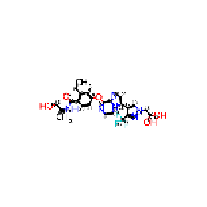 CCc1cc(Oc2nccn3c(-c4cn(CC(O)O)nc4C(F)(F)F)cnc23)ccc1C(=O)N[C@H](C)CO